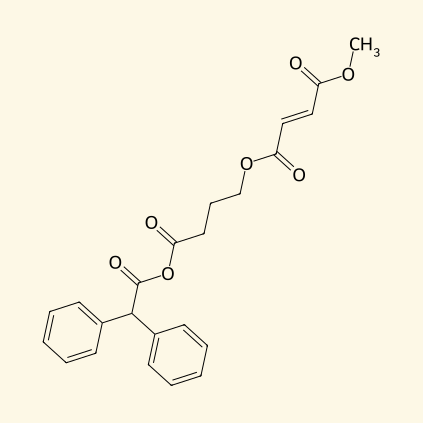 COC(=O)C=CC(=O)OCCCC(=O)OC(=O)C(c1ccccc1)c1ccccc1